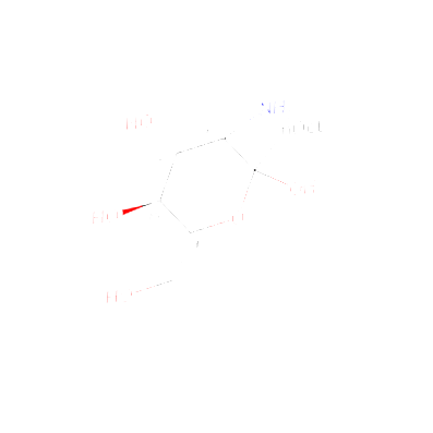 CCCCCCCCC1(O)O[C@H](CO)[C@@H](O)[C@H](O)[C@@]1(C)N